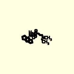 CCN(C)CCCS(=O)(=O)NC(=O)Nc1c2c(cc3c1CCC3)CCC2